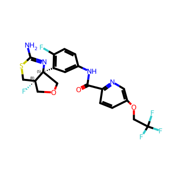 NC1=N[C@@]2(c3cc(NC(=O)c4ccc(OCC(F)(F)F)cn4)ccc3F)COC[C@@]2(F)CS1